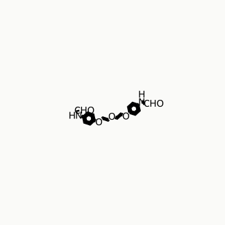 O=CNc1ccc(OCCOCCOc2ccc(NC=O)cc2)cc1